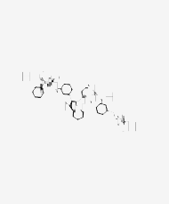 CN(C)CCc1cccc(Nc2nccc(-c3c(-c4cccc(NC(=O)N(C)c5ccccc5)c4)nc4ccccn34)n2)c1